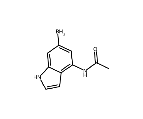 Bc1cc(NC(C)=O)c2cc[nH]c2c1